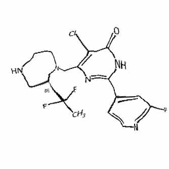 CC(F)(F)[C@H]1CNCCN1c1nc(-c2ccnc(F)c2)[nH]c(=O)c1Cl